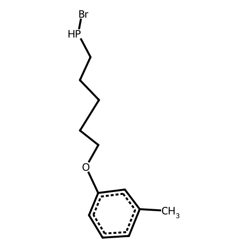 Cc1cccc(OCCCCCPBr)c1